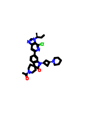 CC[C@H](C)n1cnc2cc(-c3ccc4c(c3)N([C@H]3C[C@@H](N5CCCCC5)C3)C(=O)C43CCN(C(C)=O)CC3)nc(Cl)c21